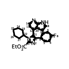 CCOC(=O)c1nc(-c2ccc(F)cc2)c(-c2ccnc3[nH]ccc23)n1C1CCCCC1